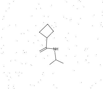 C=C(NC(C)C)C1CCC1